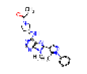 CCC(=O)N1CC[C@H](Nc2ncnc3c2nc(-c2cnn(-c4ccccc4)c2C)n3C)C1